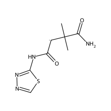 CC(C)([CH]C(=O)Nc1nncs1)C(N)=O